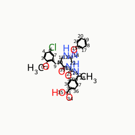 COc1ccc(Cl)cc1C[C@@H]1CN/C(=N\Oc2ccccc2)CN(C(=O)NC(C)c2ccc(C(=O)O)cc2)C1=O